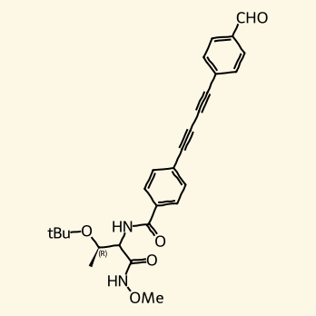 CONC(=O)C(NC(=O)c1ccc(C#CC#Cc2ccc(C=O)cc2)cc1)[C@@H](C)OC(C)(C)C